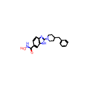 O=C(NO)c1ccc2nc(N3CCC(Cc4ccccc4)CC3)[nH]c2c1